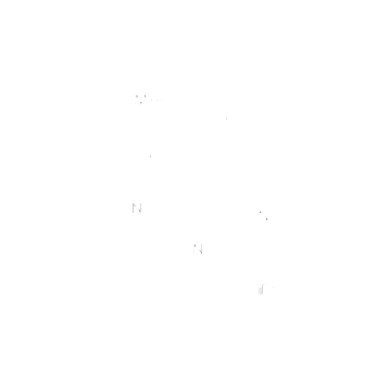 COS(=O)(=O)c1cnc(C(C)C)nc1N(C)C